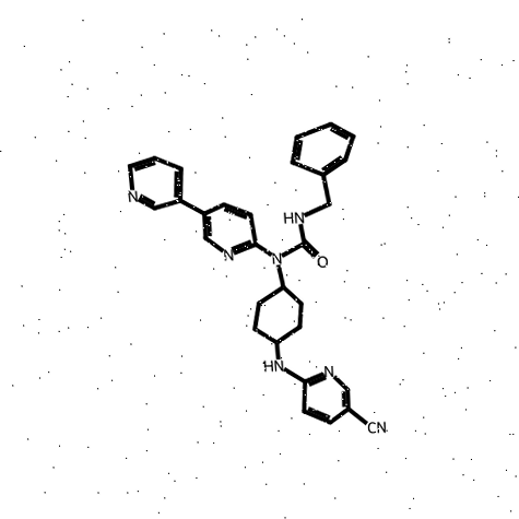 N#Cc1ccc(NC2CCC(N(C(=O)NCc3ccccc3)c3ccc(-c4cccnc4)cn3)CC2)nc1